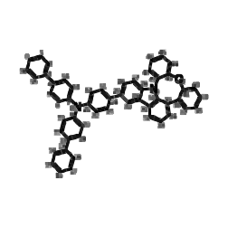 c1ccc(-c2ccc(N(c3ccc(-c4ccccc4)cc3)c3ccc(-c4ccc5c(c4)c4cccc6c7ccccc7oc7ccccc7n5c64)cc3)cc2)cc1